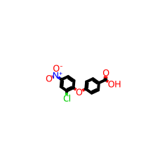 O=C(O)c1ccc(Oc2ccc([N+](=O)[O-])cc2Cl)cc1